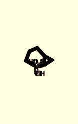 Cl.O=C(O)C12CC1CCCN2